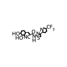 N#C/C(=C\c1ccc(O)c(O)c1)C(=O)Nc1nc(-c2ccc(C(F)(F)F)cn2)cs1